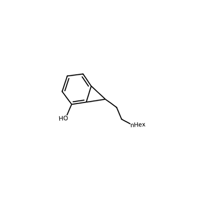 CCCCCCCCC1c2cccc(O)c21